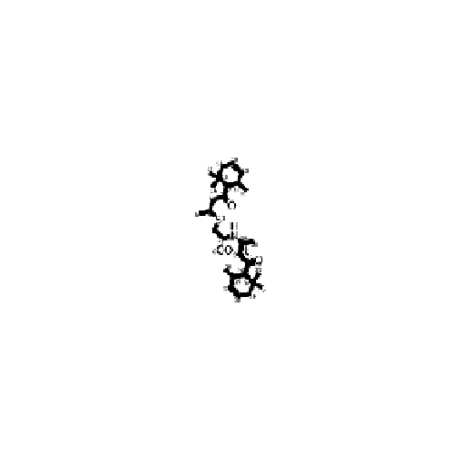 CCOC(=O)[C@H](CSC(C)CC(=O)C1C(C)C=CCC1(C)C)NC(C)CC(=O)C1C(C)C=CCC1(C)C